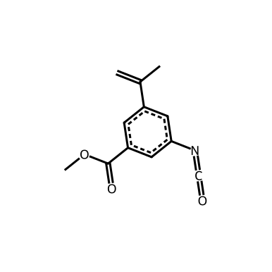 C=C(C)c1cc(N=C=O)cc(C(=O)OC)c1